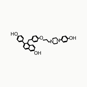 Oc1ccc(-c2ccc3cc(O)ccc3c2Cc2ccc(OCCCN3CCN(c4ccc(O)cc4)CC3)cc2)cc1